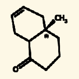 C[C@]12CC=CCC1C(=O)CCC2